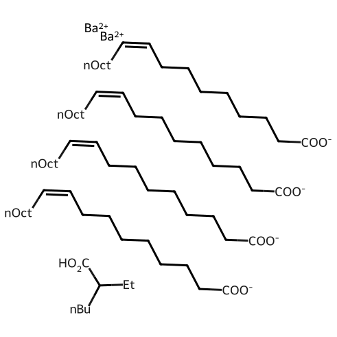 CCCCC(CC)C(=O)O.CCCCCCCC/C=C\CCCCCCCC(=O)[O-].CCCCCCCC/C=C\CCCCCCCC(=O)[O-].CCCCCCCC/C=C\CCCCCCCC(=O)[O-].CCCCCCCC/C=C\CCCCCCCC(=O)[O-].[Ba+2].[Ba+2]